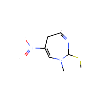 CSC1N=CCC([N+](=O)[O-])=CN1C